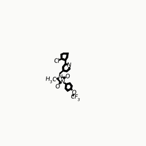 CC1C(=O)N(c2ccc(OC(F)(F)F)cc2)C(=O)N1Cc1ccnc(-c2ccccc2Cl)c1